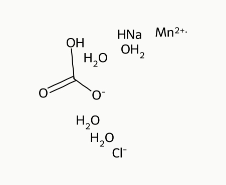 O.O.O.O.O=C([O-])O.[Cl-].[Mn+2].[NaH]